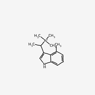 Cc1cccc2[nH]cc(C(C)[N+](C)(C)C)c12